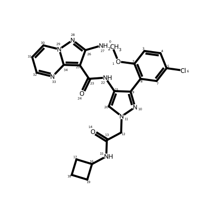 COc1ccc(Cl)cc1-c1nn(CC(=O)NC2CCC2)cc1NC(=O)c1c(N)nn2cccnc12